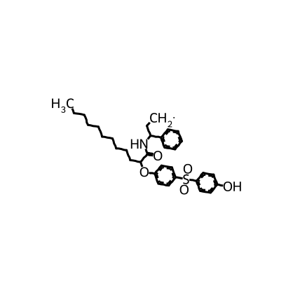 [CH2]CC(NC(=O)C(CCCCCCCCCC)Oc1ccc(S(=O)(=O)c2ccc(O)cc2)cc1)c1ccccc1